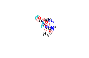 COc1cc(C(=O)NCC(O)(c2cc3c(c(-c4ccc5c(c4)OC(F)(F)O5)n2)OC[C@]3(C)C(N)=O)C(F)(F)F)cc2cn(C3CC3)nc12